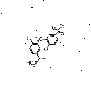 CCS(=O)(=O)c1ccc(Oc2cc(Cl)ccc2C(C)C(=O)O)c(C(F)(F)F)c1